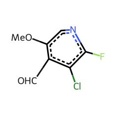 COc1cnc(F)c(Cl)c1C=O